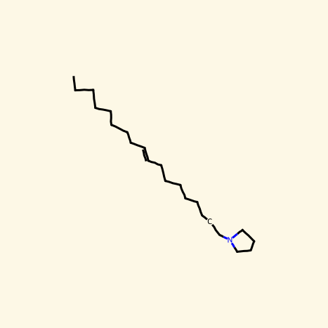 CCCCCCCCC=CCCCCCCCCN1CCCC1